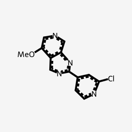 COc1cncc2nc(-c3ccnc(Cl)c3)ncc12